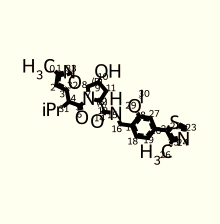 Cc1cc(C(C(=O)N2C[C@H](O)C[C@H]2C(=O)NCc2ccc(-c3scnc3C)cc2OI)C(C)C)on1